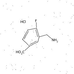 Cl.NCc1cc(C(=O)O)ccc1F